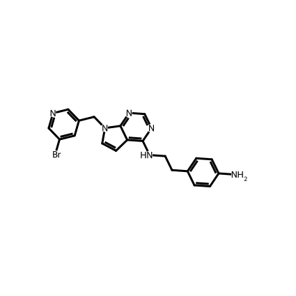 Nc1ccc(CCNc2ncnc3c2ccn3Cc2cncc(Br)c2)cc1